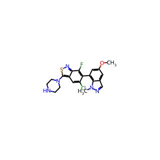 COc1cc(-c2c(Cl)cc3c(N4CCNCC4)snc3c2F)c2c(cnn2C)c1